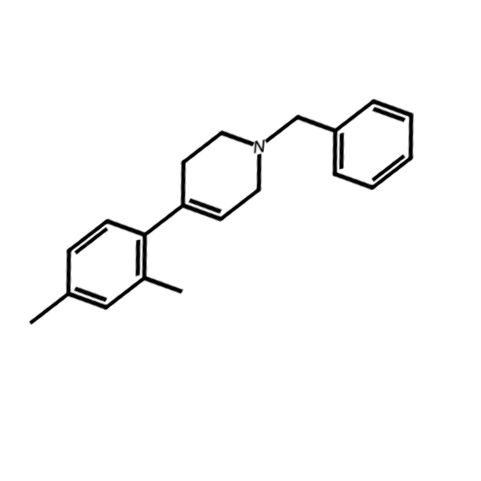 Cc1ccc(C2=CCN(Cc3ccccc3)CC2)c(C)c1